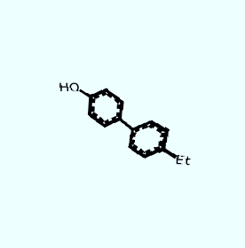 CCc1ccc(-c2ccc(O)cc2)cc1